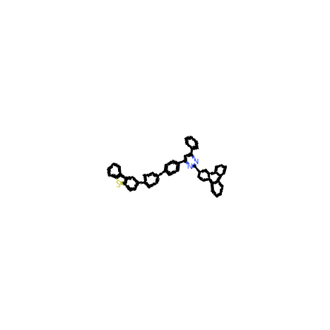 c1ccc(-c2cc(-c3ccc(-c4ccc(-c5ccc6sc7ccccc7c6c5)cc4)cc3)nc(-c3ccc4c5ccccc5c5ccccc5c4c3)n2)cc1